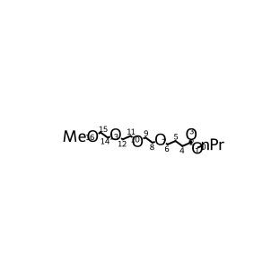 CCCOC(=O)CCCOCCOCCOCCOC